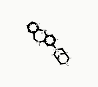 c1cnc2c(c1)CNc1cc(N3CC4COCC(C3)O4)ccc1N2